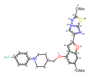 COc1cc(OCC2CCN(c3ccc(F)cc3)CC2)c2cc(-c3cn4nc(OC)sc4n3)oc2c1